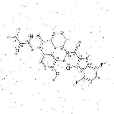 COc1ccc(-c2ccnc(C(=O)N(C)C)c2)cc1CN(C(=O)c1sc2c(F)ccc(F)c2c1Cl)C1CCCCC1